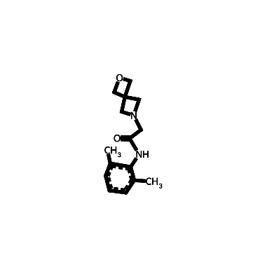 Cc1cccc(C)c1NC(=O)CN1CC2(COC2)C1